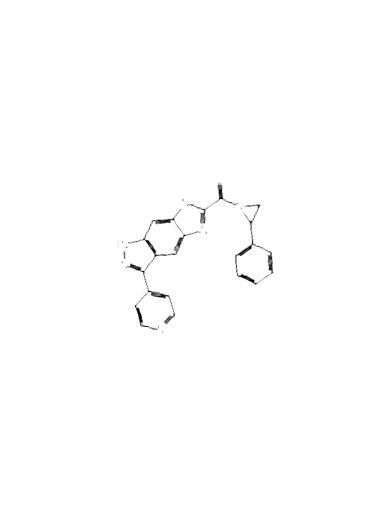 O=C(c1nc2cc3c(-c4ccncc4)n[nH]c3cc2[nH]1)N1CC1c1ccccc1